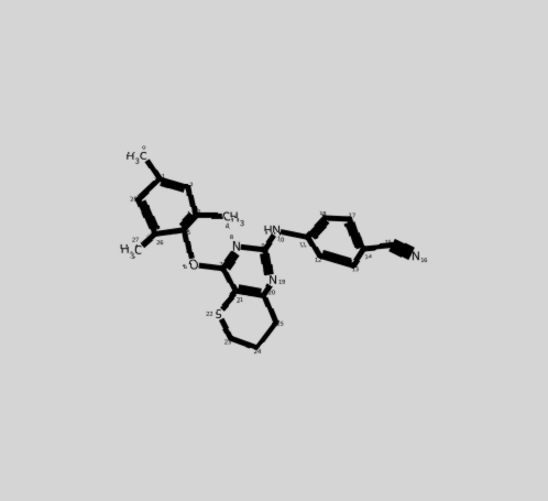 Cc1cc(C)c(Oc2nc(Nc3ccc(C#N)cc3)nc3c2SCCC3)c(C)c1